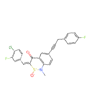 CN1c2ccc(C#CCc3ccc(F)cc3)cc2C(=O)/C(=C\c2ccc(Cl)c(F)c2)[S+]1[O-]